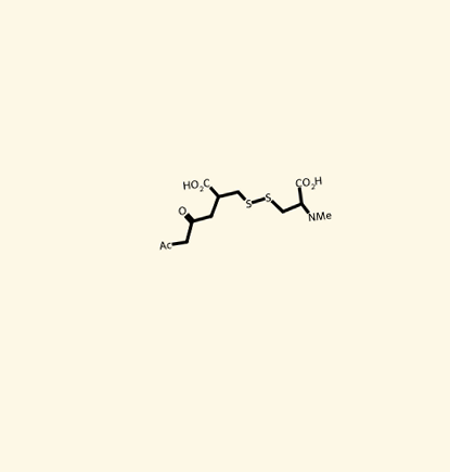 CNC(CSSCC(CC(=O)CC(C)=O)C(=O)O)C(=O)O